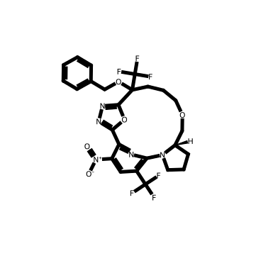 O=[N+]([O-])c1cc(C(F)(F)F)c2nc1-c1nnc(o1)C(OCc1ccccc1)(C(F)(F)F)CCCOC[C@@H]1CCCN21